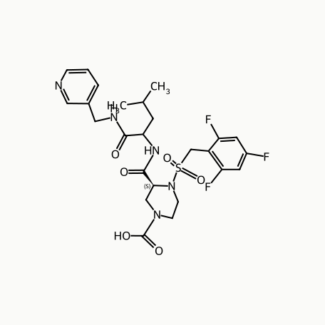 CC(C)CC(NC(=O)[C@@H]1CN(C(=O)O)CCN1S(=O)(=O)Cc1c(F)cc(F)cc1F)C(=O)NCc1cccnc1